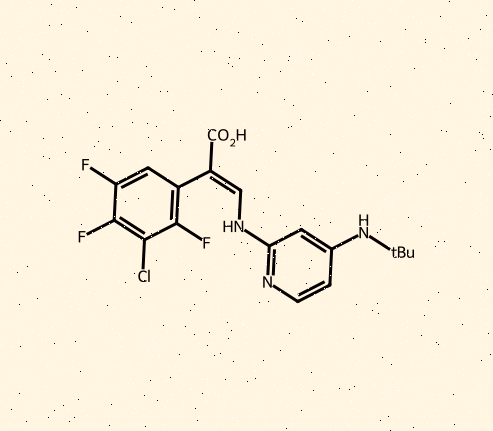 CC(C)(C)Nc1ccnc(NC=C(C(=O)O)c2cc(F)c(F)c(Cl)c2F)c1